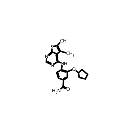 Cc1sc2ncnc(Nc3ccc(C(N)=O)cc3OC3CCCC3)c2c1C